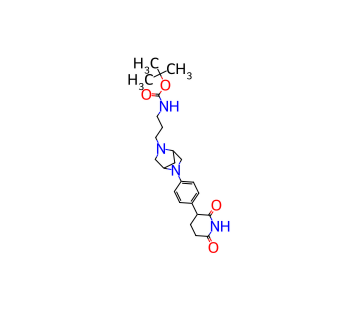 CC(C)(C)OC(=O)NCCCN1CC2CC1CN2c1ccc(C2CCC(=O)NC2=O)cc1